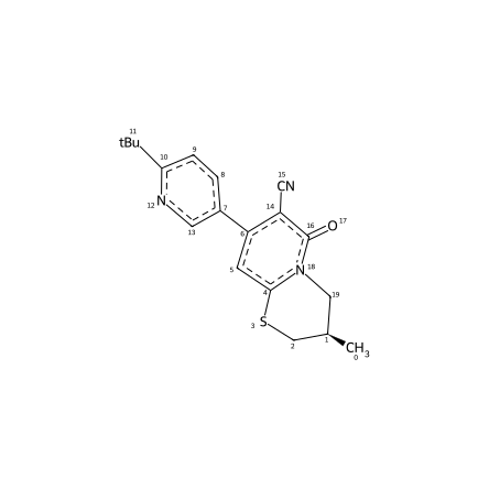 C[C@H]1CSc2cc(-c3ccc(C(C)(C)C)nc3)c(C#N)c(=O)n2C1